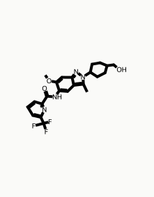 COc1cc2nn(C3CCC(CO)CC3)c(C)c2cc1NC(=O)c1cccc(C(F)(F)F)n1